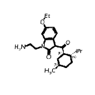 CCOc1ccc2c(c1)N(CCN)C(=O)C2C(=O)[C@@H]1C[C@H](C)CC[C@H]1C(C)C